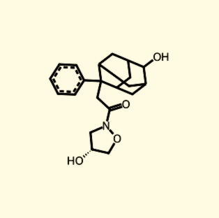 O=C(CC1(c2ccccc2)C2CC3CC1CC(C2)C3O)N1C[C@@H](O)CO1